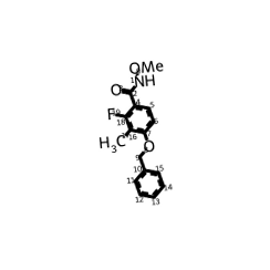 CONC(=O)c1ccc(OCc2ccccc2)c(C)c1F